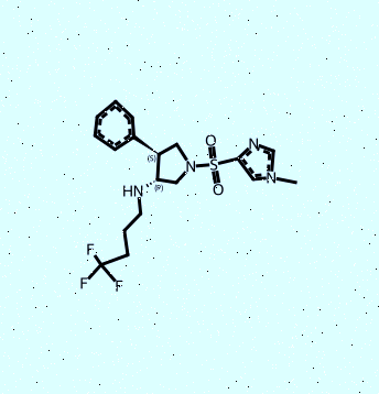 Cn1cnc(S(=O)(=O)N2C[C@H](NCCCC(F)(F)F)[C@@H](c3ccccc3)C2)c1